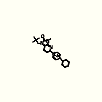 Cn1c(=O)n(CC(C)(C)C)c2ccc(N3CC4CCC3CN4c3ccccc3)nc21